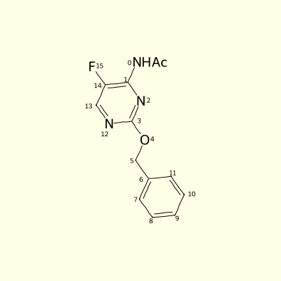 CC(=O)Nc1nc(OCc2ccccc2)ncc1F